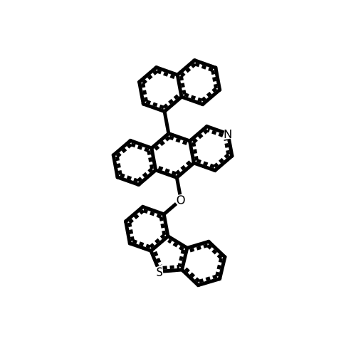 c1ccc2c(-c3c4ccccc4c(Oc4cccc5sc6ccccc6c45)c4ccncc34)cccc2c1